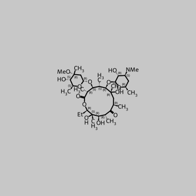 CC[C@H]1OC(=O)[C@H](C)[C@@H](O[C@H]2C[C@@](C)(OC)[C@@H](O)[C@H](C)O2)[C@H](C)[C@@H](O[C@@H]2O[C@H](C)C[C@H](NC)[C@H]2O)[C@](C)(O)C[C@@H](C)C(=O)[C@H](C)[C@@H](O)[C@]1(C)O